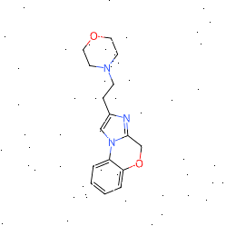 c1ccc2c(c1)OCc1nc(CCN3CCOCC3)cn1-2